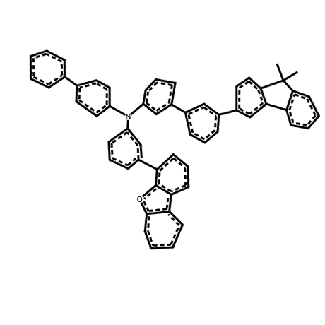 CC1(C)c2ccccc2-c2cc(-c3cccc(-c4cccc(N(c5ccc(-c6ccccc6)cc5)c5cccc(-c6cccc7c6oc6ccccc67)c5)c4)c3)ccc21